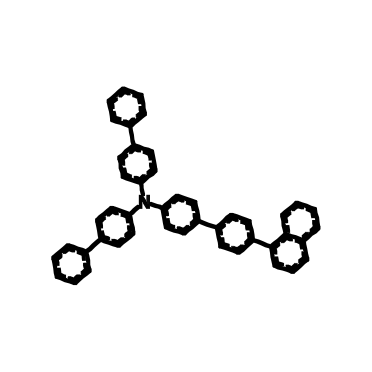 c1ccc(-c2ccc(N(c3ccc(-c4ccccc4)cc3)c3ccc(-c4ccc(-c5cccc6ccccc56)cc4)cc3)cc2)cc1